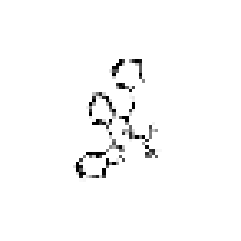 CC(C)(C)[S@+]([O-])NC(Cc1ccccn1)c1ccccc1-c1noc2ccccc12